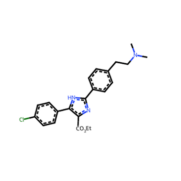 CCOC(=O)c1nc(-c2ccc(CCN(C)C)cc2)[nH]c1-c1ccc(Cl)cc1